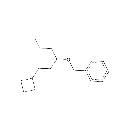 CCCC(CCC1CCC1)OCc1ccccc1